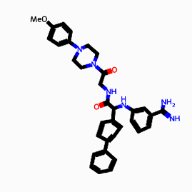 COc1ccc(N2CCN(C(=O)CNC(=O)C(Nc3cccc(C(=N)N)c3)c3ccc(-c4ccccc4)cc3)CC2)cc1